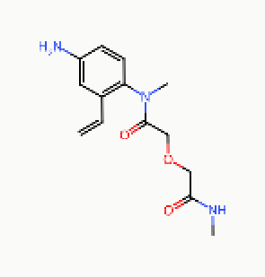 C=Cc1cc(N)ccc1N(C)C(=O)COCC(=O)NC